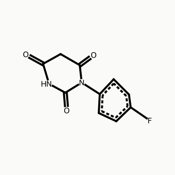 O=C1CC(=O)N(c2ccc(F)cc2)C(=O)N1